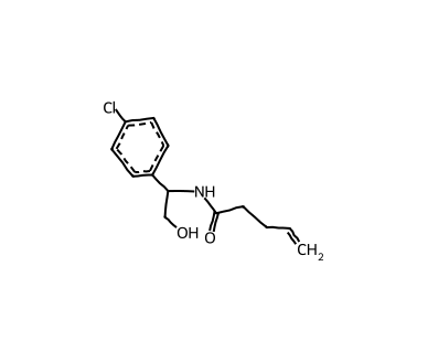 C=CCCC(=O)NC(CO)c1ccc(Cl)cc1